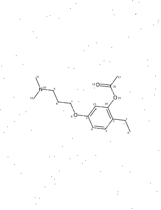 CCc1ccc(OCCCN(C)C)cc1OC(C)=O